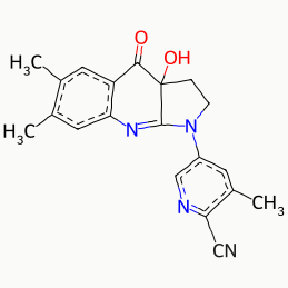 Cc1cc2c(cc1C)C(=O)C1(O)CCN(c3cnc(C#N)c(C)c3)C1=N2